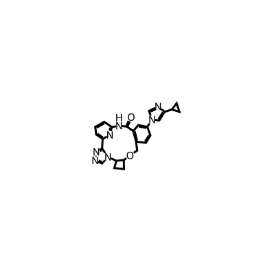 O=C1Nc2cccc(n2)-c2nncn2C2CCC2OCc2ccc(-n3cnc(C4CC4)c3)cc21